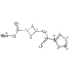 CC(C)(C)OC(=O)C1CC(OC(=S)n2ccnc2)C1